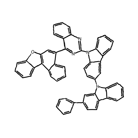 c1ccc(-c2ccc3c4ccccc4n(-c4ccc5c(c4)c4ccccc4n5-c4nc(-c5cc6oc7ccccc7c6c6ccccc56)c5ccccc5n4)c3c2)cc1